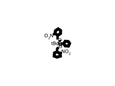 CC(C)(C)[Si](OCc1ccccc1[N+](=O)[O-])(OCc1ccccc1[N+](=O)[O-])c1ccccc1